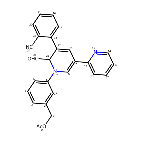 CC(=O)OCc1cccc(N2C=C(c3ccccn3)C=C(c3ccccc3C#N)C2C=O)c1